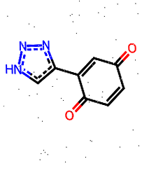 O=C1C=CC(=O)C(c2c[nH]nn2)=C1